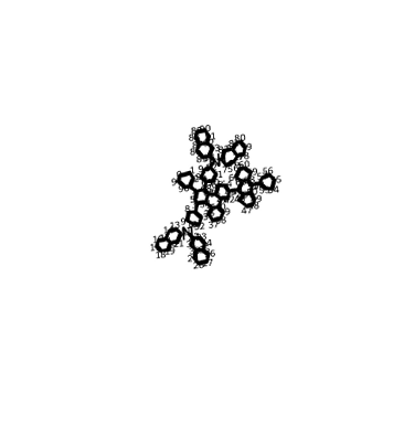 c1ccc(-c2cc(-c3ccc(N(c4ccc5ccccc5c4)c4ccc5ccccc5c4)cc3)c3c4ccccc4c4cc(-c5c6ccccc6c(-c6ccccc6)c6ccccc56)ccc4c3c2-c2ccc(N(c3ccc4ccccc4c3)c3ccc4ccccc4c3)cc2)cc1